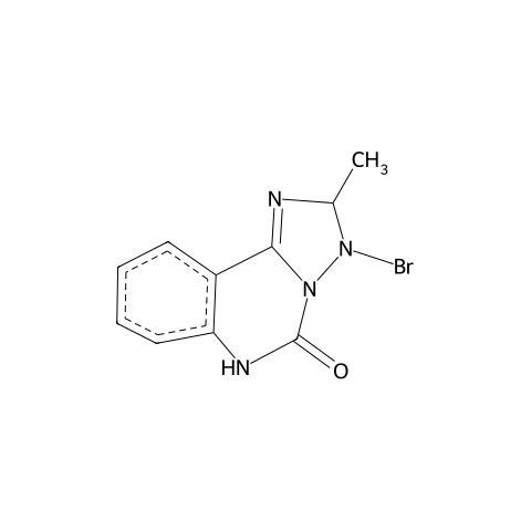 CC1N=C2c3ccccc3NC(=O)N2N1Br